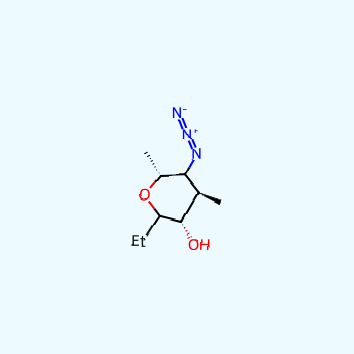 CCC1O[C@H](C)C(N=[N+]=[N-])[C@@H](C)[C@@H]1O